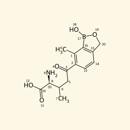 Cc1c(C(=O)CC(C)[C@H](N)C(=O)O)ccc2c1B(O)OC2